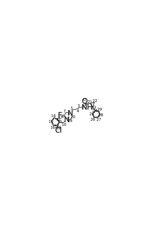 O=C(NCCCN1CCN(Cc2c(F)cccc2Cl)CC1)C1CC1c1ccccc1